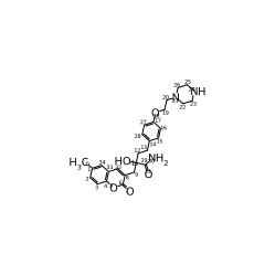 Cc1ccc2oc(=O)c(CC(O)(CCc3ccc(OCCN4CCNCC4)cc3)C(N)=O)cc2c1